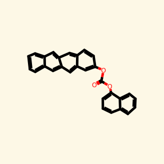 O=C(Oc1ccc2cc3cc4ccccc4cc3cc2c1)Oc1cccc2ccccc12